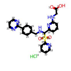 Cl.O=C(O)CNc1cccc(C(NCc2ccc(-c3ncccn3)cc2)S(=O)(=O)c2ccccn2)n1